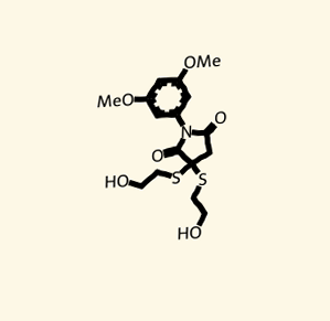 COc1cc(OC)cc(N2C(=O)CC(SCCO)(SCCO)C2=O)c1